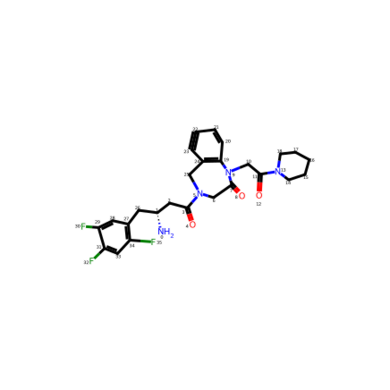 N[C@@H](CC(=O)N1CC(=O)N(CC(=O)N2CCCCC2)c2ccc#cc2C1)Cc1cc(F)c(F)cc1F